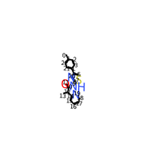 Cc1ccc(-c2csc(NC(=O)C(C)c3ccccn3)n2)cc1